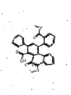 COC(=O)c1ccccc1-c1cc(-c2ccccc2)c(C(=O)O)c(C(=O)O)c1-c1ccccc1C(=O)OC